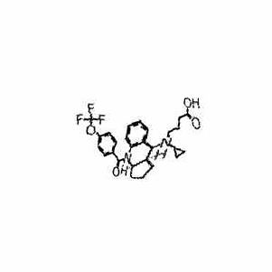 O=C(O)CCCN(C1CC1)[C@@H]1c2ccccc2N(C(=O)c2ccc(OC(F)(F)F)cc2)[C@@H]2CCC[C@@H]21